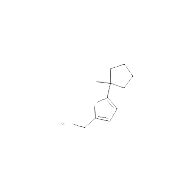 COCc1ccc(C2(C)CCCC2)o1